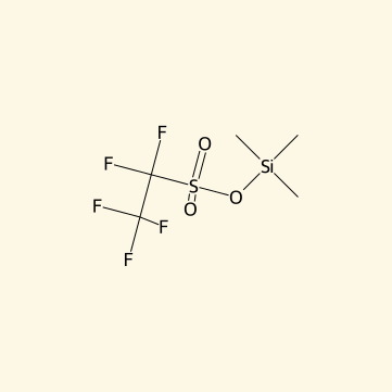 C[Si](C)(C)OS(=O)(=O)C(F)(F)C(F)(F)F